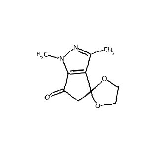 Cc1nn(C)c2c1C1(CC2=O)OCCO1